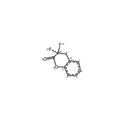 O=C1Oc2ccccc2CC1(F)F